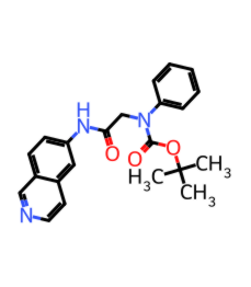 CC(C)(C)OC(=O)N(CC(=O)Nc1ccc2cnccc2c1)c1ccccc1